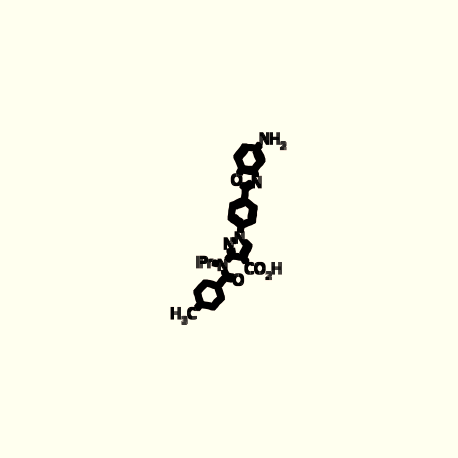 CC1CCC(C(=O)N(c2nn(-c3ccc(-c4nc5cc(N)ccc5o4)cc3)cc2C(=O)O)C(C)C)CC1